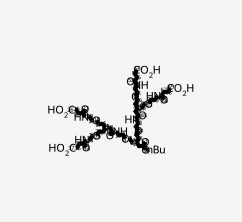 CCCCOC(=O)CN(CCOCCNC(=O)CN(CCOCCNC(=O)CCC(=O)O)CCOCCNC(=O)CCC(=O)O)CCOCCNC(=O)CN(CCOCCNC(=O)CCC(=O)O)CCOCCNC(=O)CCC(=O)O